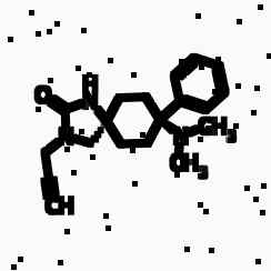 C#CCN1C[C@]2(CC[C@](c3ccccc3)(N(C)C)CC2)NC1=O